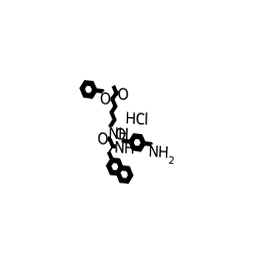 CC(=O)C(CCCCNC(=O)[C@H](Cc1ccc2ccccc2c1)NC(=O)c1ccc(CN)cc1)OCc1ccccc1.Cl